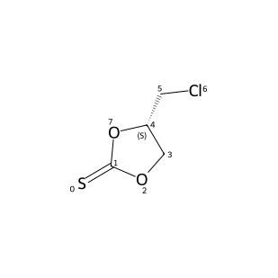 S=C1OC[C@@H](CCl)O1